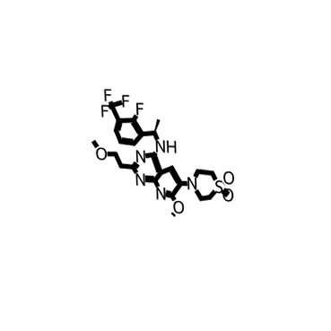 COCCc1nc(N[C@H](C)c2cccc(C(F)(F)F)c2F)c2cc(N3CCS(=O)(=O)CC3)c(OC)nc2n1